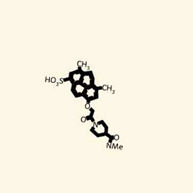 CNC(=O)C1CCN(C(=O)COc2cc(C)c3ccc4c(C)cc(S(=O)(=O)O)c5ccc2c3c45)CC1